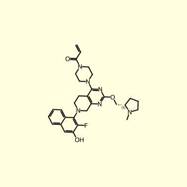 C=CC(=O)N1CCN(c2nc(OC[C@@H]3CCCN3C)nc3c2CCN(c2c(F)c(O)cc4ccccc24)C3)CC1